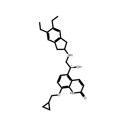 CCc1cc2c(cc1CC)CC(NC[C@@H](O)c1ccc(OCC3CC3)c3[nH]c(=O)ccc13)C2